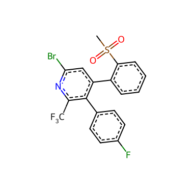 CS(=O)(=O)c1ccccc1-c1cc(Br)nc(C(F)(F)F)c1-c1ccc(F)cc1